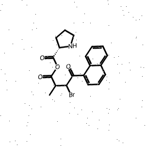 CC(C(=O)OC(=O)[C@@H]1CCCN1)C(Br)C(=O)c1cccc2ccccc12